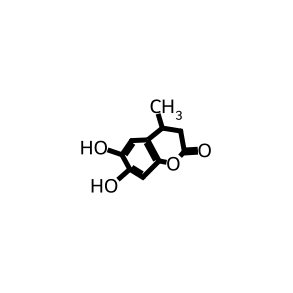 CC1CC(=O)Oc2cc(O)c(O)cc21